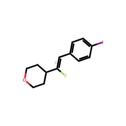 F/C(=C\c1ccc(I)cc1)C1CCOCC1